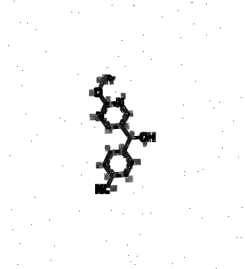 CC(C)Oc1ncc(C(O)c2ccc(C#N)cc2)cn1